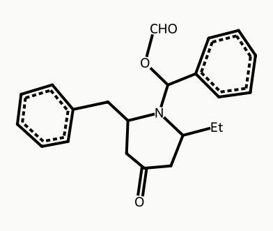 CCC1CC(=O)CC(Cc2ccccc2)N1C(OC=O)c1ccccc1